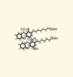 CCCCCCCCCCCCCCCCOc1ccc2c(c1C(=O)O)Cc1ccccc1O2.CCCCCCCCCCCCCCCOc1ccc2c(c1C(=O)O)Cc1ccccc1O2.[Mo]